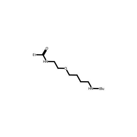 CCC(=O)NCCOCCCCNC(C)(C)C